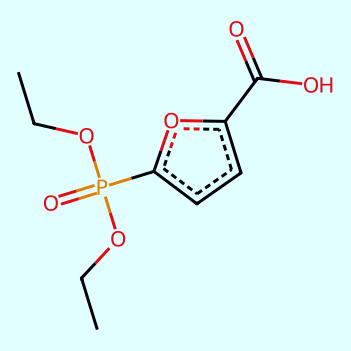 CCOP(=O)(OCC)c1ccc(C(=O)O)o1